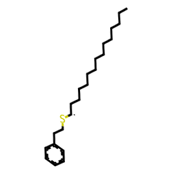 CCCCCCCCCCCCCC[CH]SCCc1ccccc1